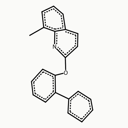 Cc1cccc2ccc(Oc3ccccc3-c3ccccc3)nc12